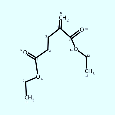 C=C(CCC(=O)OCC)C(=O)OCC